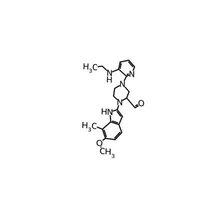 CCNc1cccnc1N1CCN(c2cc3ccc(OC)c(C)c3[nH]2)C(C=O)C1